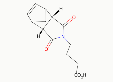 O=C(O)CCCN1C(=O)[C@@H]2C3C=CC(C3)[C@@H]2C1=O